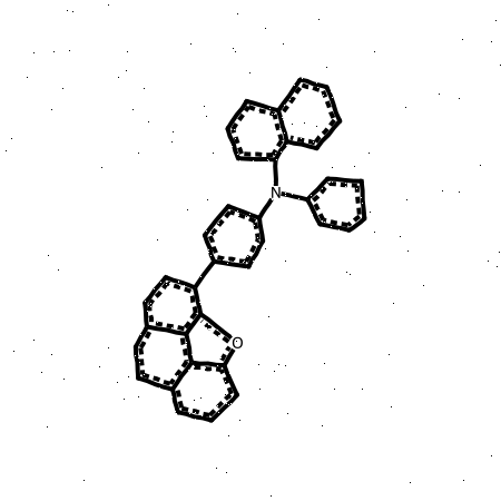 c1ccc(N(c2ccc(-c3ccc4ccc5cccc6oc3c4c56)cc2)c2cccc3ccccc23)cc1